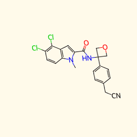 Cn1c(C(=O)NC2(c3ccc(CC#N)cc3)COC2)cc2c(Cl)c(Cl)ccc21